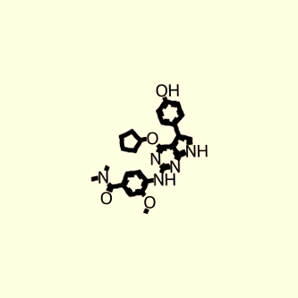 COc1cc(C(=O)N(C)C)ccc1Nc1nc(OC2CCCC2)c2c(-c3ccc(O)cc3)c[nH]c2n1